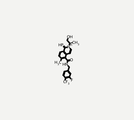 Cc1ccc2c(=P)n([C@H](C)CO)ccc2c1C(=O)NCc1ccc(C(F)(F)F)c(F)c1